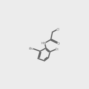 CCc1cccc(C(C)CC)c1NC(=O)CCl